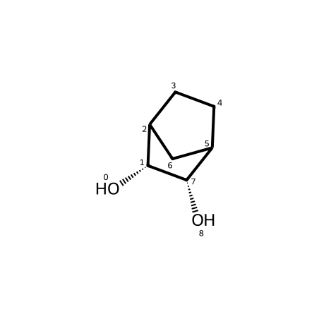 O[C@@H]1C2CCC(C2)[C@@H]1O